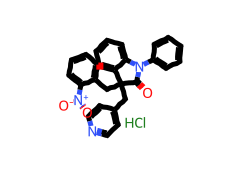 Cl.O=C1N(c2ccccc2)c2ccccc2C1(Cc1ccncc1)Cc1ccccc1[N+](=O)[O-]